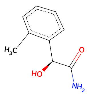 Cc1ccccc1[C@H](O)C(N)=O